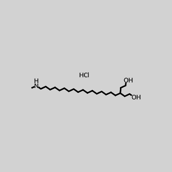 CNCCCCCCCCCCCCCCCCCC(CCO)CCO.Cl